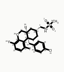 CS(=O)(=O)NC[C@@H]1CC[C@@]2(Cc3ccc(Cl)cc3)c3c(F)ccc(F)c3OC[C@H]2C1